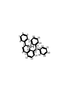 C1=CC(c2ccccc2)Nc2c1cccc2P(c1ccccc1)c1ccccc1